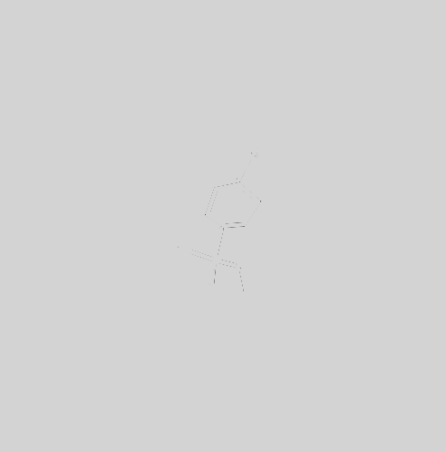 CCN=S(C)(=O)c1ccc(N)cc1